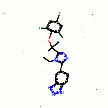 CCn1c(-c2ccc3[nH]nnc3c2)nnc1C(C)(C)Oc1c(F)cc(F)cc1F